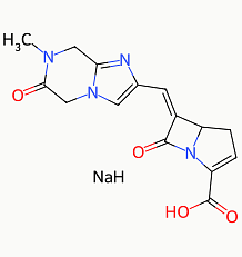 CN1Cc2nc(C=C3C(=O)N4C(C(=O)O)=CCC34)cn2CC1=O.[NaH]